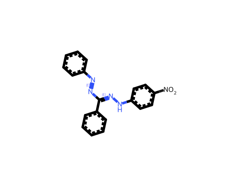 O=[N+]([O-])c1ccc(N/N=C(/N=N/c2ccccc2)c2ccccc2)cc1